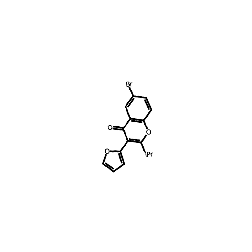 CC(C)c1oc2ccc(Br)cc2c(=O)c1-c1ccco1